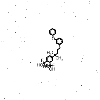 CC(C)(CCCc1cccc(Oc2ccccc2)c1)c1ccc(C(O)(O)F)c(C(O)(O)F)c1